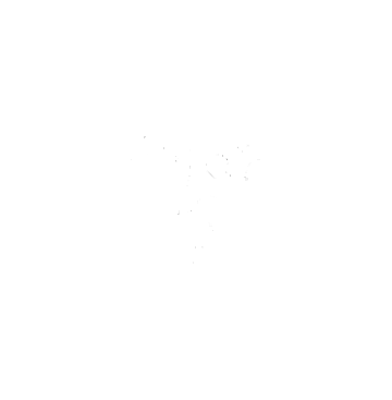 CC(C)(C)CC(C)(C)c1ccc(O)c(C(C)(C)CC(C)(C)C)c1.c1c[nH]nn1